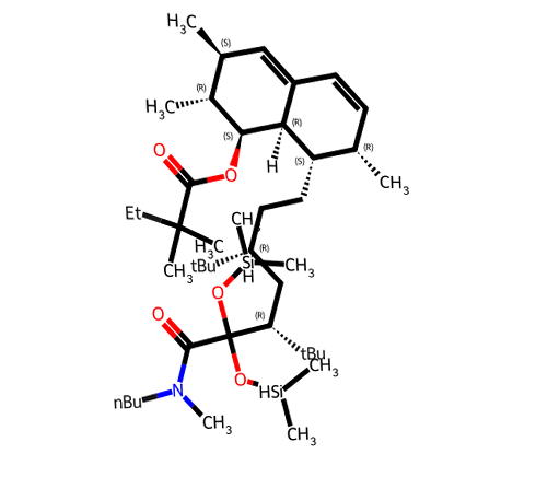 CCCCN(C)C(=O)C(O[SiH](C)C)(O[SiH](C)C)[C@H](C[C@@H](CC[C@@H]1[C@@H]2C(=C[C@H](C)[C@@H](C)[C@@H]2OC(=O)C(C)(C)CC)C=C[C@@H]1C)C(C)(C)C)C(C)(C)C